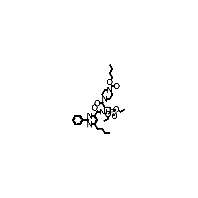 CCCCOC(=O)N1CCN(C(=O)C(CP(=O)(OCC)OCC)NC(=O)c2cc(CCCC)nc(-c3ccccc3)n2)CC1